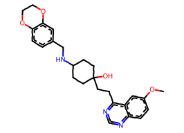 COc1ccc2ncnc(CCC3(O)CCC(NCc4ccc5c(c4)OCCO5)CC3)c2c1